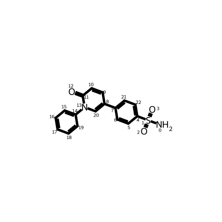 NS(=O)(=O)c1ccc(-c2ccc(=O)n(-c3ccccc3)c2)cc1